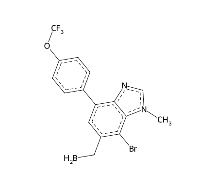 BCc1cc(-c2ccc(OC(F)(F)F)cc2)c2ncn(C)c2c1Br